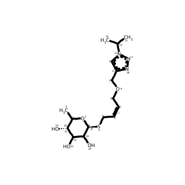 CC1O[C@@H](SC/C=C\COCc2cn(C(C)C)nn2)C(O)C(O)[C@@H]1O